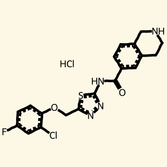 Cl.O=C(Nc1nnc(COc2ccc(F)cc2Cl)s1)c1ccc2c(c1)CCNC2